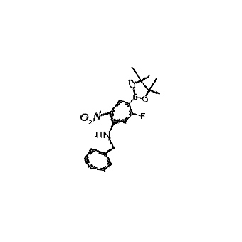 CC1(C)OB(c2cc([N+](=O)[O-])c(NCc3ccccc3)cc2F)OC1(C)C